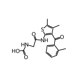 Cc1ccccc1C(=O)c1c(NC(=O)CNC(=O)O)sc(C)c1C